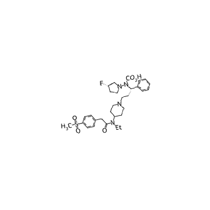 CCN(C(=O)Cc1ccc(S(C)(=O)=O)cc1)C1CCN(CC[C@@H](c2ccccc2)N(C(=O)O)N2CC[C@H](F)C2)CC1